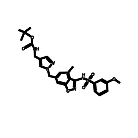 COc1cccc(S(=O)(=O)Nc2noc3cc(Cn4cc(CNC(=O)OC(C)(C)C)cn4)cc(C)c23)c1